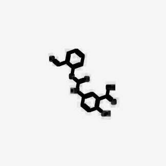 O=Cc1ccccc1OC(=O)Nc1ccc(O)c(C(=O)O)c1